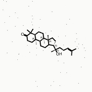 CC(C)=CCC[C@](C)(O)[C@H]1CC[C@]2(C)C1CCC1[C@@]3(C)CCC(=O)C(C)(C)C3CC[C@]12C